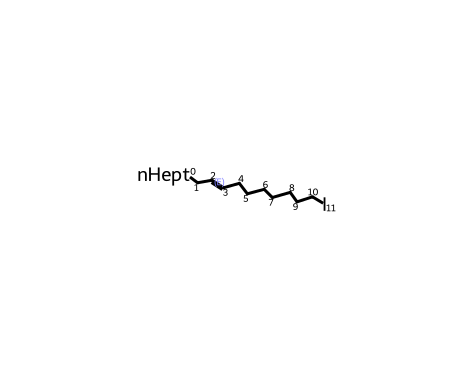 CCCCCCCC/C=C/CCCCCCCI